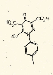 CCCCc1c(C(=O)O)c(=O)c(C(=O)O)nn1-c1ccc(I)cc1